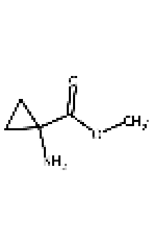 [CH2]OC(=O)C1(N)CC1